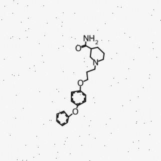 NC(=O)C1CCCN(CCCOc2ccc(Oc3ccccc3)cc2)C1